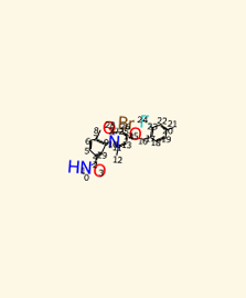 CNC(=O)c1ccc(C)c(-n2c(C)cc(OCc3ccc(C)cc3F)c(Br)c2=O)c1